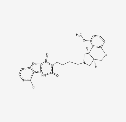 COc1cccc2c1[C@@H]1CN(CCCCn3c(=O)[nH]c4c(sc5ccnc(Cl)c54)c3=O)C[C@@H]1CO2